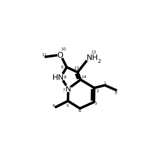 CCC1=CCC(C)N2NC(OC)C(N)=C12